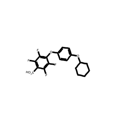 O=S(=O)(O)c1c(F)c(F)c(Oc2ccc(OC3CCCCC3)cc2)c(F)c1F